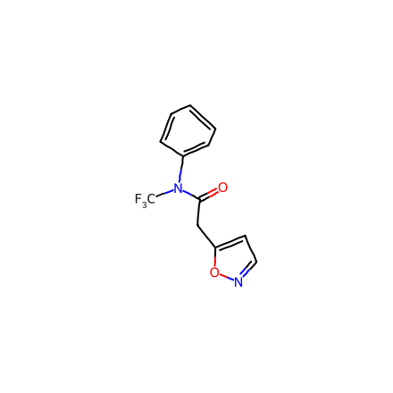 O=C(Cc1ccno1)N(c1ccccc1)C(F)(F)F